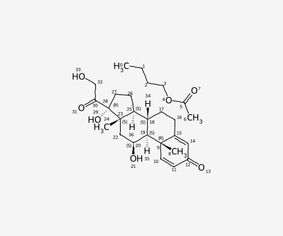 CCCCOC(C)=O.C[C@]12C=CC(=O)C=C1CC[C@@H]1[C@@H]2[C@@H](O)C[C@@]2(C)[C@H]1CC[C@]2(O)C(=O)CO